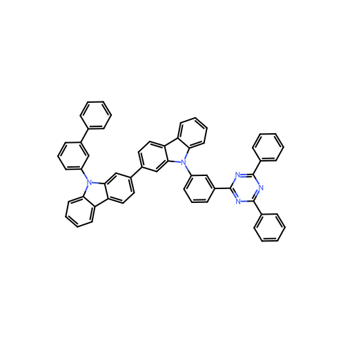 c1ccc(-c2cccc(-n3c4ccccc4c4ccc(-c5ccc6c7ccccc7n(-c7cccc(-c8nc(-c9ccccc9)nc(-c9ccccc9)n8)c7)c6c5)cc43)c2)cc1